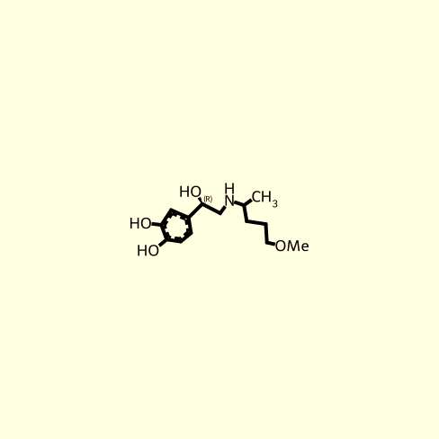 COCCCC(C)NC[C@H](O)c1ccc(O)c(O)c1